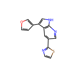 c1csc(-c2cnc3[nH]cc(-c4ccoc4)c3c2)n1